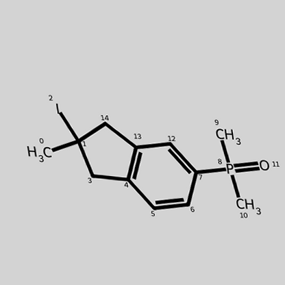 CC1(I)Cc2ccc(P(C)(C)=O)cc2C1